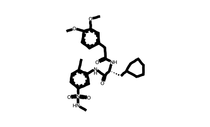 CNS(=O)(=O)c1ccc(C)c(NC(=O)[C@@H](CC2CCCCC2)NC(=O)Cc2ccc(OC)c(OC)c2)c1